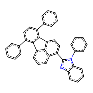 c1ccc(-c2ccc(-c3ccccc3)c3c2-c2cccc4c(-c5nc6ccccc6n5-c5ccccc5)ccc-3c24)cc1